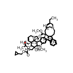 CCC1=C[C@@H]2CN(CCc3c([nH]c4ccccc34)[C@@](C(=O)OC)(c3cc4c(cc3OC)N(C)[C@H]3C(O)(CNC(=O)OCC5CC5)[C@H](OC(C)=O)[C@]5(CC)C=CCN6CC[C@]43[C@@H]65)C2)C1